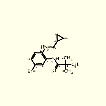 CC(C)(C)C(=O)Nc1cc(Br)ccc1NCC1CC1